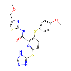 COCc1csc(NC(=O)c2nc(Sc3nnc[nH]3)ccc2Sc2ccc(OC)cc2)n1